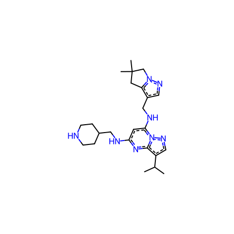 CC(C)c1cnn2c(NCc3cnn4c3CC(C)(C)C4)cc(NCC3CCNCC3)nc12